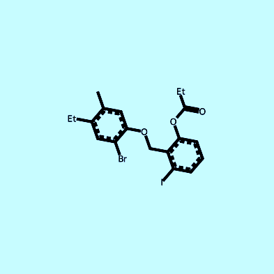 CCC(=O)Oc1cccc(I)c1COc1cc(C)c(CC)cc1Br